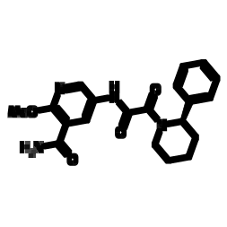 COc1ncc(NC(=O)C(=O)N2CCCC[C@@H]2c2ccccc2)cc1C(N)=O